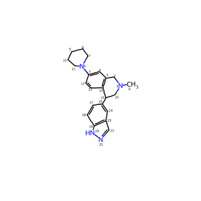 CN1Cc2cc(N3CCCCC3)ccc2C(c2ccc3[nH]ncc3c2)C1